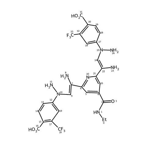 CCNC(=O)c1cc(/C(N)=C/N(N)c2ccc(C(=O)O)c(C(F)(F)F)c2)nc(/C(N)=C/N(N)c2ccc(C(=O)O)c(C(F)(F)F)c2)c1